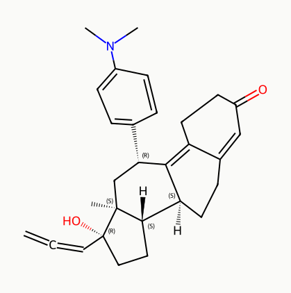 C=C=C[C@]1(O)CC[C@H]2[C@@H]3CCC4=CC(=O)CCC4=C3[C@@H](c3ccc(N(C)C)cc3)C[C@@]21C